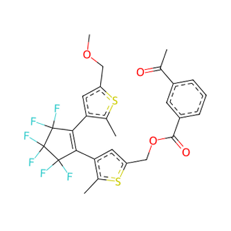 COCc1cc(C2=C(c3cc(COC(=O)c4cccc(C(C)=O)c4)sc3C)C(F)(F)C(F)(F)C2(F)F)c(C)s1